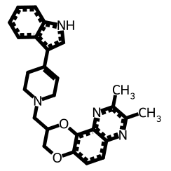 Cc1nc2ccc3c(c2nc1C)OC(CN1CC=C(c2c[nH]c4ccccc24)CC1)CO3